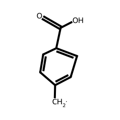 [CH2]c1ccc(C(=O)O)cc1